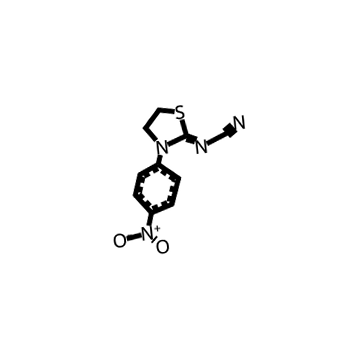 N#CN=C1SCCN1c1ccc([N+](=O)[O-])cc1